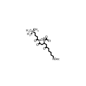 CCCCCCCCCCCCCCCC(=O)CC(CC(=O)P(O)C(=O)CCC[N+](C)(C)C)NC(=O)CC